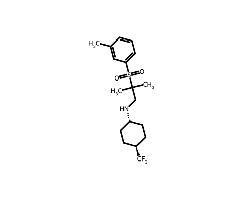 Cc1cccc(S(=O)(=O)C(C)(C)CN[C@H]2CC[C@H](C(F)(F)F)CC2)c1